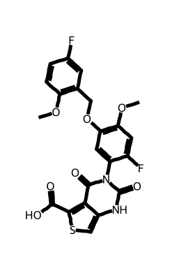 COc1ccc(F)cc1COc1cc(-n2c(=O)[nH]c3csc(C(=O)O)c3c2=O)c(F)cc1OC